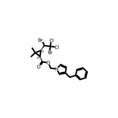 CC1(C)[C@H](C(=O)OCn2ccc(Cc3ccccc3)c2)[C@@H]1C(Br)C(Cl)(Cl)Br